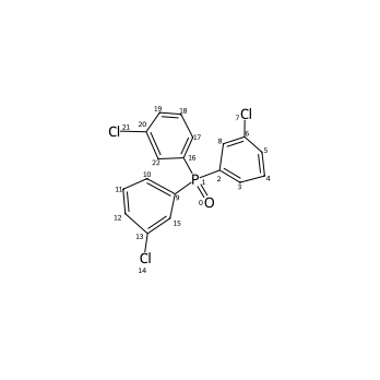 O=P(c1cccc(Cl)c1)(c1cccc(Cl)c1)c1cccc(Cl)c1